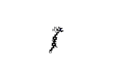 CC/C(=C(\C)N)N(N)CCCCc1ccc(C(C)(C)c2ccc(CCCCCl)c(C)c2)cc1